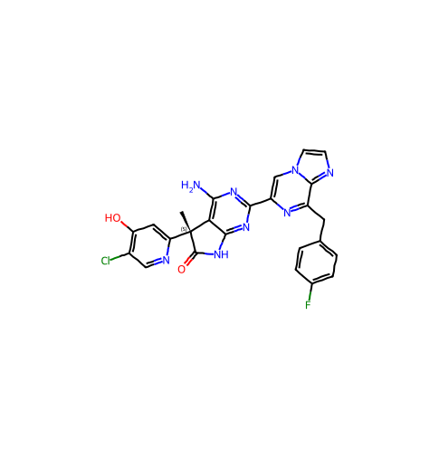 C[C@]1(c2cc(O)c(Cl)cn2)C(=O)Nc2nc(-c3cn4ccnc4c(Cc4ccc(F)cc4)n3)nc(N)c21